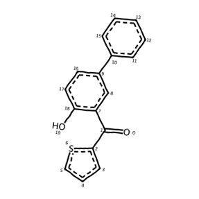 O=C(c1cccs1)c1cc(-c2ccccc2)ccc1O